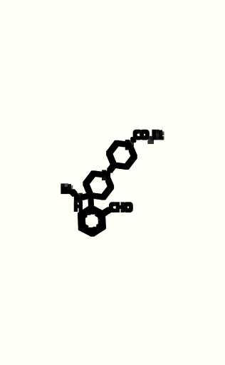 CCNC1(c2ccccc2C=O)CCN(C2CCN(C(=O)OCC)CC2)CC1